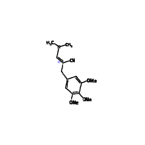 COc1cc(C/C(C#N)=C/N(C)C)cc(OC)c1OC